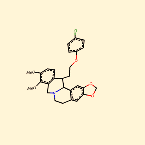 COc1ccc2c(c1OC)CN1CCc3cc4c(cc3C1C2CCOc1ccc(Cl)cc1)OCO4